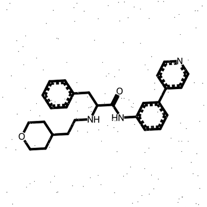 O=C(Nc1cccc(-c2ccncc2)c1)C(Cc1ccccc1)NCCC1CCOCC1